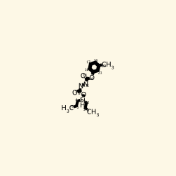 CCC[SiH](CCC)OC(=O)N=NC(=O)Oc1cccc(C)c1